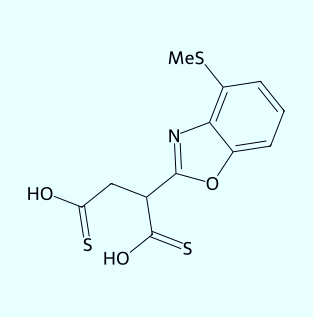 CSc1cccc2oc(C(CC(O)=S)C(O)=S)nc12